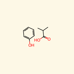 CC(C)C(=O)O.Oc1ccccc1